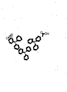 CC(=O)O.[Cl][Ru][Cl].c1ccc(P(c2ccccc2)c2ccccc2)cc1.c1ccc(P(c2ccccc2)c2ccccc2)cc1.c1ccc(P(c2ccccc2)c2ccccc2)cc1